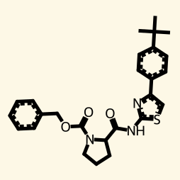 CC(C)(C)c1ccc(-c2csc(NC(=O)C3CCCN3C(=O)OCc3ccccc3)n2)cc1